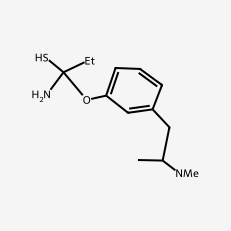 CCC(N)(S)Oc1cccc(CC(C)NC)c1